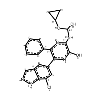 Oc1nc(-c2cc(Cl)c3[nH]ncc3c2)c(-c2ccccc2)nc1NC(O)OC1CC1